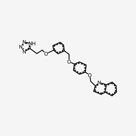 c1cc(COc2ccc(OCc3ccc4ccccc4n3)cc2)cc(OCCc2nnn[nH]2)c1